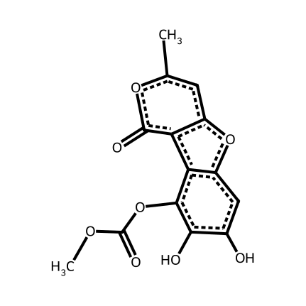 COC(=O)Oc1c(O)c(O)cc2oc3cc(C)oc(=O)c3c12